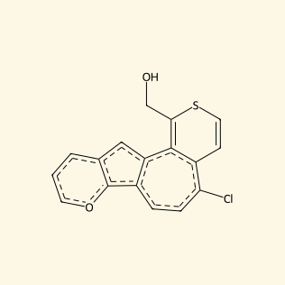 OCC1=c2c(c(Cl)ccc3c2cc2cccoc23)C=CS1